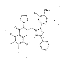 COc1ccc(-c2nc(-c3ccncc3)nn2CCN(C(=O)c2c(F)c(F)c(C)c(F)c2F)C2CCCC2)cc1Cl